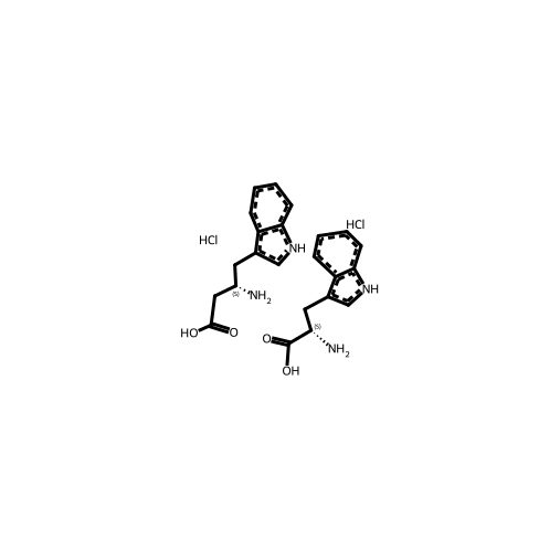 Cl.Cl.N[C@@H](Cc1c[nH]c2ccccc12)C(=O)O.N[C@H](CC(=O)O)Cc1c[nH]c2ccccc12